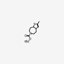 CC1=CC2CCN(C(=O)OC(C)(C)C)CCC2S1